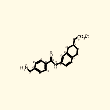 CCOC(=O)CC1CCc2ccc(NC(=O)c3ccc(CN)cc3)cc2C1